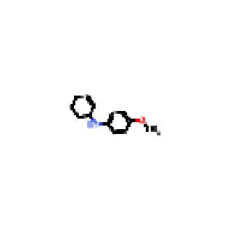 COc1ccc(NC2C=CCCC2)cc1